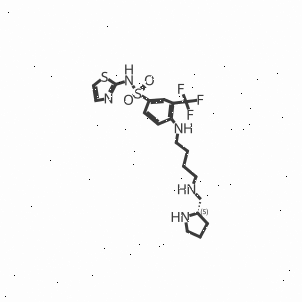 O=S(=O)(Nc1nccs1)c1ccc(NCCCCNC[C@@H]2CCCN2)c(C(F)(F)F)c1